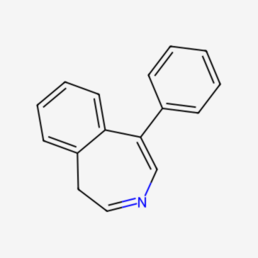 C1=NC=C(c2ccccc2)c2ccccc2C1